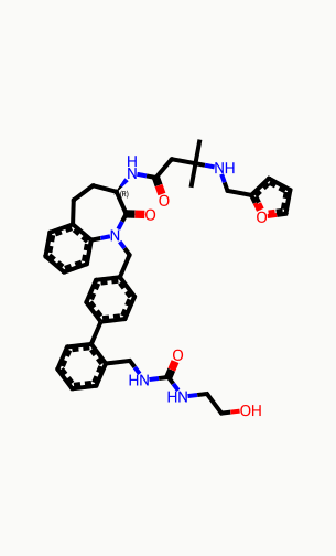 CC(C)(CC(=O)N[C@@H]1CCc2ccccc2N(Cc2ccc(-c3ccccc3CNC(=O)NCCO)cc2)C1=O)NCc1ccco1